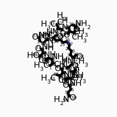 CC[C@H](C)[C@H](N)C(=O)N[C@H](C(=O)N[C@@H](CC(N)=O)C(=O)N[C@@](C)(CCC/C=C\CCC[C@@](C)(C=O)NC(=O)[C@H](CC(=O)O)NC(=O)[C@@H](NC(=O)[C@H](C)NC(=O)CCC(N)=O)[C@@H](C)CC)C(=O)N[C@H](C(=O)N[C@@H](CC(N)=O)C(=O)C(C)C)C(C)C)[C@@H](C)O